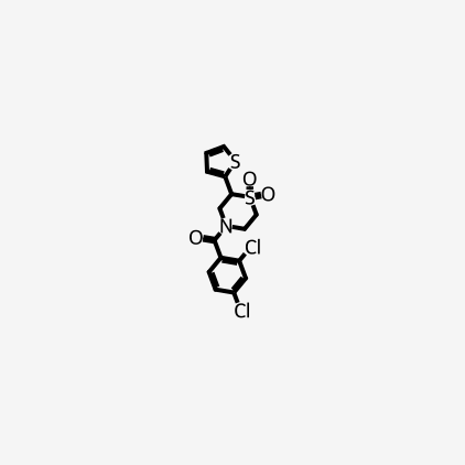 O=C(c1ccc(Cl)cc1Cl)N1CCS(=O)(=O)C(c2cccs2)C1